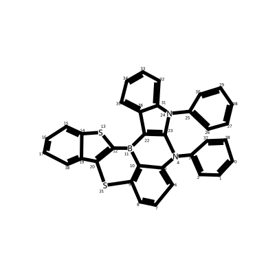 c1ccc(N2c3cccc4c3B(c3sc5ccccc5c3S4)c3c2n(-c2ccccc2)c2ccccc32)cc1